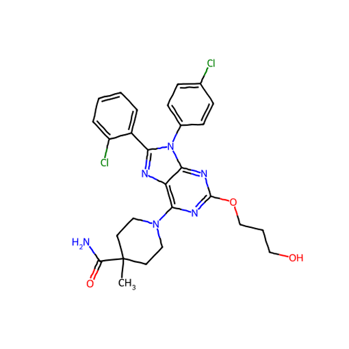 CC1(C(N)=O)CCN(c2nc(OCCCO)nc3c2nc(-c2ccccc2Cl)n3-c2ccc(Cl)cc2)CC1